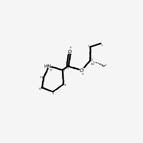 CC[C@H](C)OC(=O)C1CCCCN1